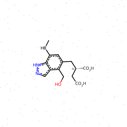 CBc1cc(C[C@@H](CC(=O)O)C(=O)O)c(CO)c2cn[nH]c12